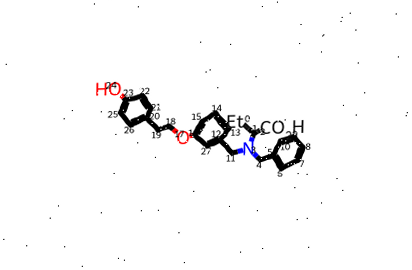 CCC(C(=O)O)N(Cc1ccccc1)Cc1cccc(OCCc2ccc(O)cc2)c1